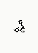 C=C(O)c1c(C)nc(-c2cccnc2)n1Cc1cccc(F)c1